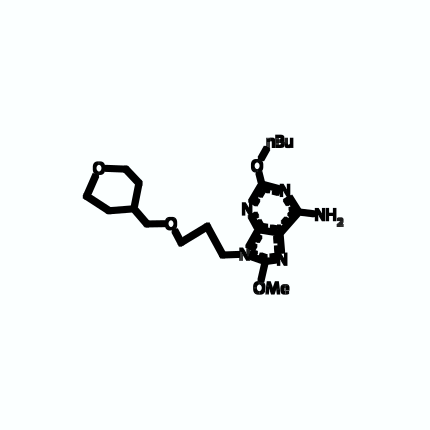 CCCCOc1nc(N)c2nc(OC)n(CCCOCC3CCOCC3)c2n1